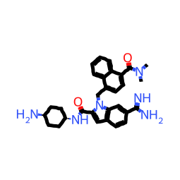 CN(C)C(=O)c1ccc(Cn2c(C(=O)N[C@H]3CC[C@H](N)CC3)cc3ccc(C(=N)N)cc32)c2ccccc12